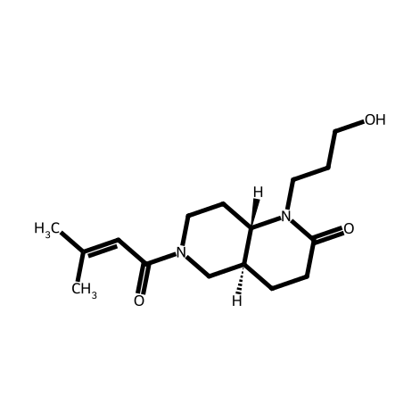 CC(C)=CC(=O)N1CC[C@H]2[C@@H](CCC(=O)N2CCCO)C1